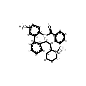 Cc1ccc(OC(=O)c2ccccc2)c(-c2ccccc2CCC2CCCCN2C)c1